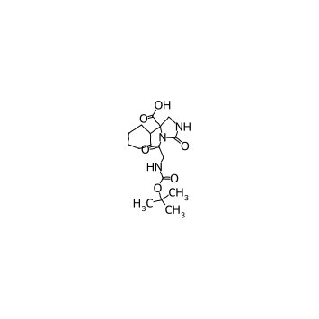 CC(C)(C)OC(=O)NCC(=O)N1C(=O)NCC1(C(=O)O)C1CCCCC1